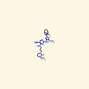 Cc1nn(C2CC3CCC(C2)N3C)cc1Nc1ncc(C#N)c(NCCCN2CCCN(C)C2=O)n1